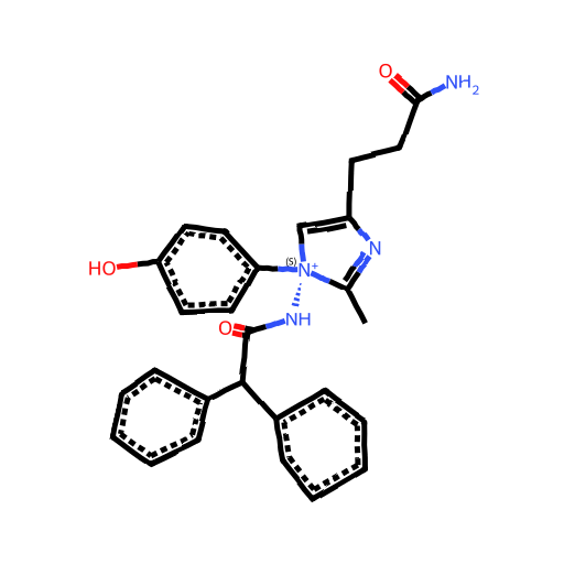 CC1=NC(CCC(N)=O)=C[N@+]1(NC(=O)C(c1ccccc1)c1ccccc1)c1ccc(O)cc1